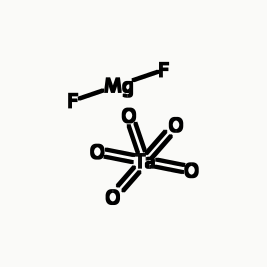 [F][Mg][F].[O]=[Ta](=[O])(=[O])(=[O])=[O]